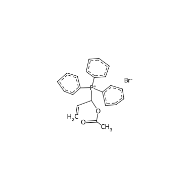 C=CC(OC(C)=O)[P+](c1ccccc1)(c1ccccc1)c1ccccc1.[Br-]